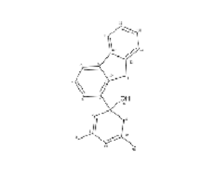 CC1=CC(O)(c2cccc3c2Cc2ccccc2-3)CC(C)=C1